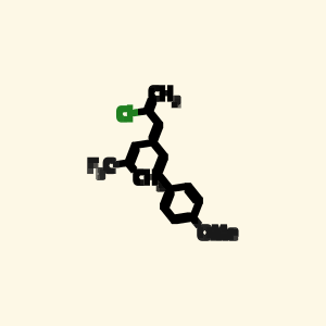 C=C(Cl)/C=C(/C=C/c1ccc(OC)cc1)\C=C(/C)C(F)(F)F